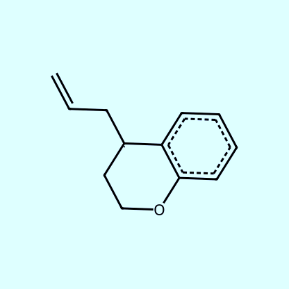 C=CC[C]1CCOc2ccccc21